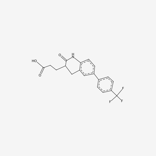 O=C(O)CCC1Cc2cc(-c3ccc(C(F)(F)F)cc3)ccc2NC1=O